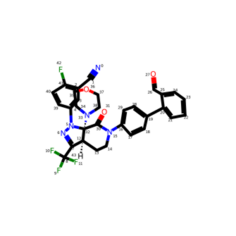 N#Cc1cc(N2N=C(C(F)(F)F)[C@@H]3CCN(c4ccc(-c5ccccc5C=O)cc4)C(=O)[C@@]32N2CCOCC2)ccc1F